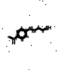 CNc1ccc(SSCCS)cc1